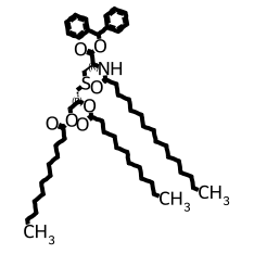 CCCCCCCCCCCCCCCC(=O)N[C@@H](CSC[C@@H](COC(=O)CCCCCCCCCCC)OC(=O)CCCCCCCCCCC)C(=O)OC(c1ccccc1)c1ccccc1